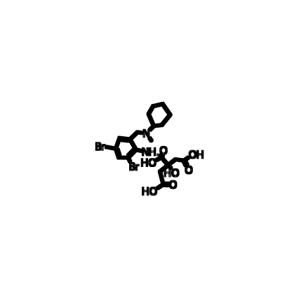 CN(Cc1cc(Br)cc(Br)c1N)C1CCCCC1.O=C(O)CC(O)(CC(=O)O)C(=O)O